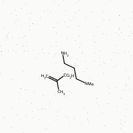 C=C(C)C(=O)O.CNCCCN